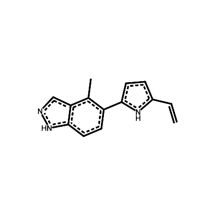 C=Cc1ccc(-c2ccc3[nH]ncc3c2C)[nH]1